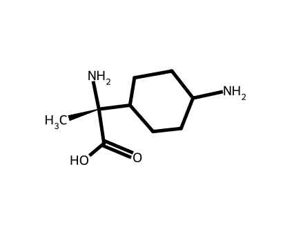 C[C@](N)(C(=O)O)C1CCC(N)CC1